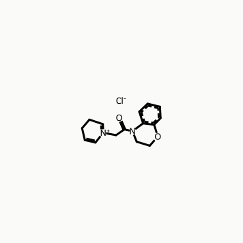 O=C(C[N+]1=CCCC=C1)N1CCOc2ccccc21.[Cl-]